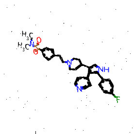 CN(C)S(=O)(=O)c1ccc(CCN2CC=C(c3c[nH]c(-c4ccc(F)cc4)c3-c3ccncc3)CC2)cc1